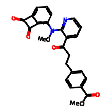 COC(=O)c1ccc(CCC(=O)c2cccnc2N(OC)c2cccc3c(=O)c(=O)c23)cc1